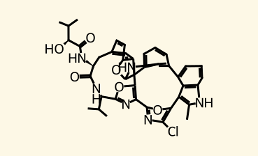 Cc1[nH]c2cccc3c2c1-c1oc(nc1Cl)-c1nc2oc1C14c5cc(ccc5OC1Nc1c-3cccc14)C[C@H](NC(=O)[C@@H](O)C(C)C)C(=O)NC2C(C)C